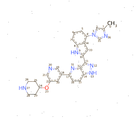 Cc1cn(-c2cccc3[nH]c(-c4n[nH]c5ccc(-c6cncc(OC7CCNCC7)c6)nc45)cc23)cn1